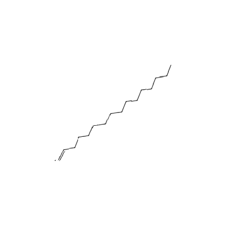 [CH]=CCCCCCCCCCCCCCC